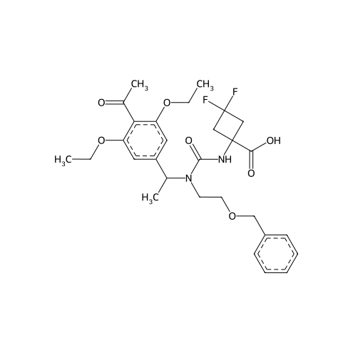 CCOc1cc(C(C)N(CCOCc2ccccc2)C(=O)NC2(C(=O)O)CC(F)(F)C2)cc(OCC)c1C(C)=O